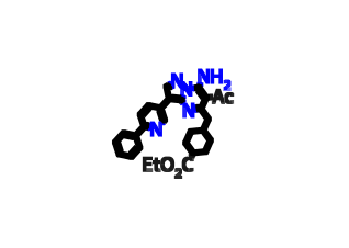 CCOC(=O)C1CCC(Cc2nc3c(-c4ccc(-c5ccccc5)nc4)cnn3c(N)c2C(C)=O)CC1